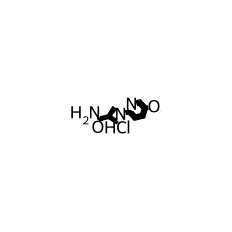 COc1ccc(N2CC(C(N)=O)C2)nc1.Cl